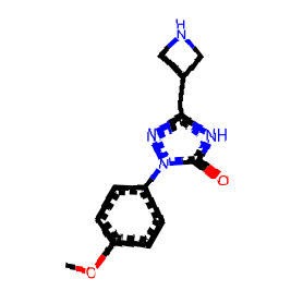 COc1ccc(-n2nc(C3CNC3)[nH]c2=O)cc1